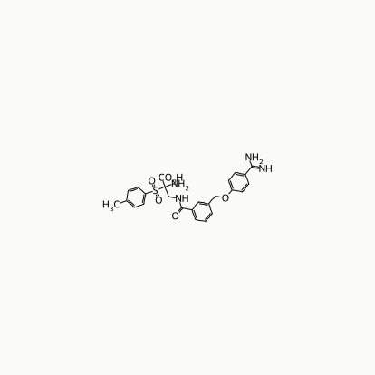 Cc1ccc(S(=O)(=O)C(N)(CNC(=O)c2cccc(COc3ccc(C(=N)N)cc3)c2)C(=O)O)cc1